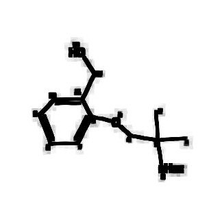 CCCCCCC(C)(C)COc1ccccc1CO